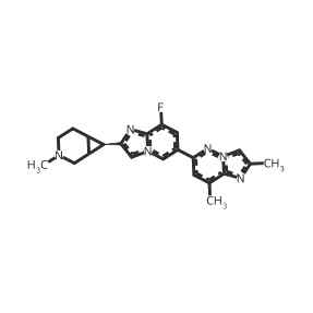 Cc1cn2nc(-c3cc(F)c4nc([C@@H]5C6CCN(C)CC65)cn4c3)cc(C)c2n1